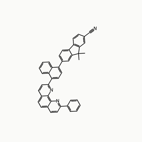 CC1(C)c2cc(C#N)ccc2-c2ccc(-c3ccc(-c4ccc5ccc6ccc(-c7ccccc7)nc6c5n4)c4ccccc34)cc21